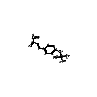 COC(=O)C=Cc1ccc(O[Si](C(C)C)(C(C)C)C(C)C)cc1